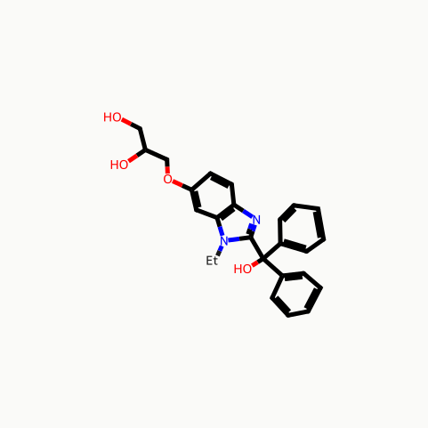 CCn1c(C(O)(c2ccccc2)c2ccccc2)nc2ccc(OCC(O)CO)cc21